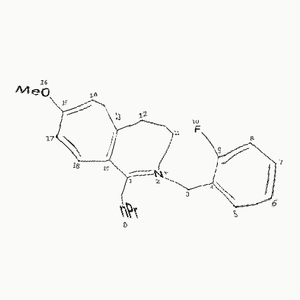 CCCC1=[N+](Cc2ccccc2F)CCc2cc(OC)ccc21